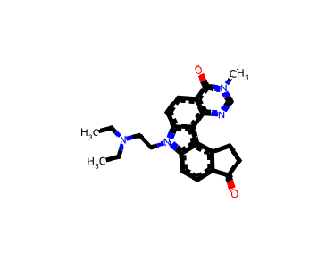 CCN(CC)CCn1c2ccc3c(c2c2c4ncn(C)c(=O)c4ccc21)CCC3=O